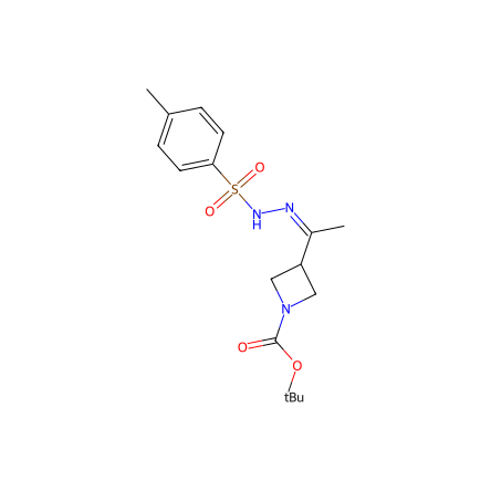 CC(=NNS(=O)(=O)c1ccc(C)cc1)C1CN(C(=O)OC(C)(C)C)C1